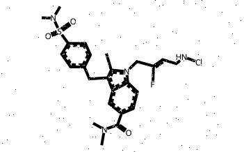 Cc1c(Cc2ccc(S(=O)(=O)N(C)C)cc2)c2cc(C(=O)N(C)C)ccc2n1C/C(F)=C/CNCl